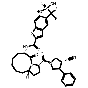 N#C[C@H]1CN(C(=O)[C@@H]2CC[C@@H]3CCCCC[C@H](NC(=O)c4cc5cc(C(F)(F)P(=O)(O)O)ccc5s4)C(=O)N32)CC1c1ccccc1